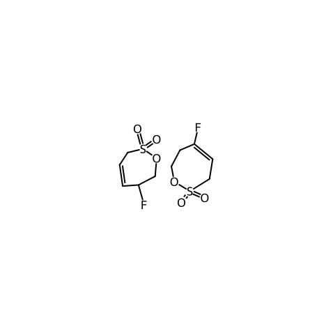 O=S1(=O)CC=C(F)CCO1.O=S1(=O)CC=CC(F)CO1